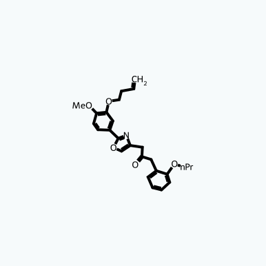 C=CCCOc1cc(-c2nc(CC(=O)Cc3ccccc3OCCC)co2)ccc1OC